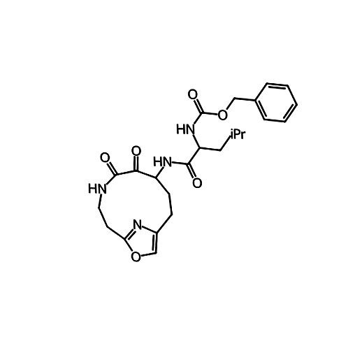 CC(C)CC(NC(=O)OCc1ccccc1)C(=O)NC1CCc2coc(n2)CCNC(=O)C1=O